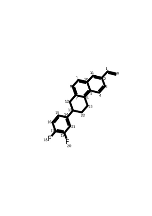 C=Cc1ccc2c3c(ccc2c1)CC(c1ccc(F)c(F)c1)CC3